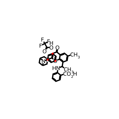 Cc1cc(C(C)Nc2ccccc2C(=O)O)c2oc(N3CC4CC(C3)N4c3ccccc3)cc(=O)c2c1.O=C(O)C(F)(F)F